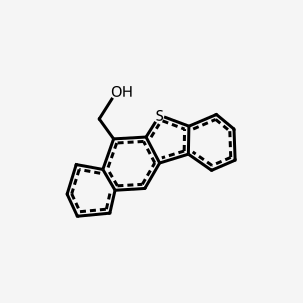 OCc1c2ccccc2cc2c1sc1ccccc12